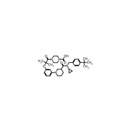 CC(C)(Oc1cccc(N2CCCC(C(=O)N(Cc3ccc(C(C)(C)C)cc3)C3CC3)C2)c1)C(=O)N1CCN(C(=O)O)CC1